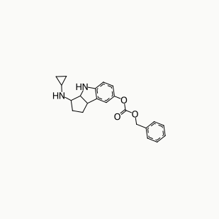 O=C(OCc1ccccc1)Oc1ccc2c(c1)C1CCC(NC3CC3)C1N2